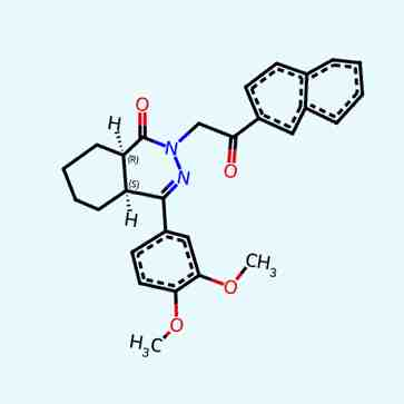 COc1ccc(C2=NN(CC(=O)c3ccc4ccccc4c3)C(=O)[C@@H]3CCCC[C@H]23)cc1OC